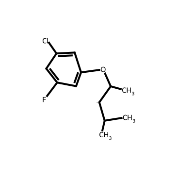 CC(C)[CH]C(C)Oc1cc(F)cc(Cl)c1